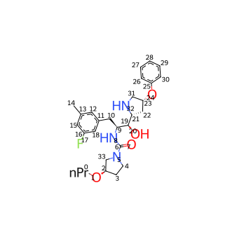 CCCO[C@@H]1CCN(C(=O)N[C@@H](Cc2cc(C)cc(F)c2)[C@H](O)[C@H]2C[C@@H](Oc3ccccc3)CN2)C1